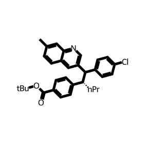 CCC[C@H](c1ccc(C(=O)OC(C)(C)C)cc1)C(c1ccc(Cl)cc1)c1cnc2cc(C)ccc2c1